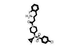 N[C@@H](CC(=O)N1CCC(N(C2CC2)S(=O)(=O)c2ccc(Cl)cc2)CC1)Cc1ccccc1F